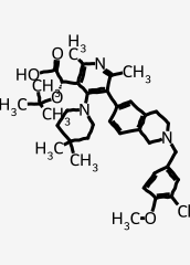 COc1ccc(CN2CCc3cc(-c4c(C)nc(C)c([C@H](OC(C)(C)C)C(=O)O)c4N4CCC(C)(C)CC4)ccc3C2)cc1Cl